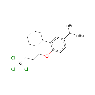 CCCCC(CCC)c1ccc(OCCC[Si](Cl)(Cl)Cl)c(C2CCCCC2)c1